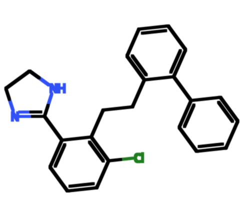 Clc1cccc(C2=NCCN2)c1CCc1ccccc1-c1ccccc1